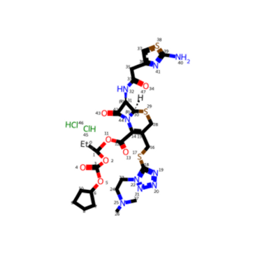 CCC(OC(=O)OC1CCCC1)OC(=O)C1=C(CSc2nnnn2CCN(C)C)CS[C@@H]2[C@H](NC(=O)Cc3csc(N)n3)C(=O)N12.Cl.Cl